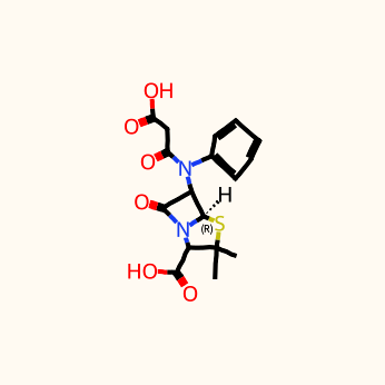 CC1(C)S[C@@H]2C(N(C(=O)CC(=O)O)c3ccccc3)C(=O)N2C1C(=O)O